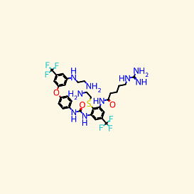 N=C(N)NCCCCC(=O)Nc1cc(C(F)(F)F)cc(NC(=O)Nc2ccc(Oc3cc(NCCN)cc(C(F)(F)F)c3)cc2)c1SCCN